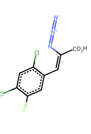 [N-]=[N+]=N/C(=C\c1cc(F)c(Cl)cc1Cl)C(=O)O